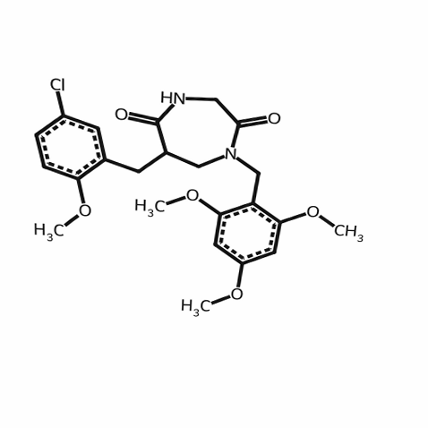 COc1cc(OC)c(CN2CC(Cc3cc(Cl)ccc3OC)C(=O)NCC2=O)c(OC)c1